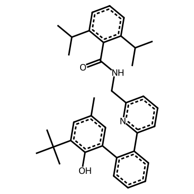 Cc1cc(-c2ccccc2-c2cccc(CNC(=O)c3c(C(C)C)cccc3C(C)C)n2)c(O)c(C(C)(C)C)c1